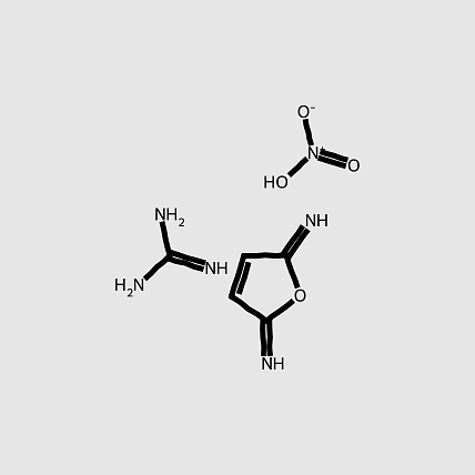 N=C(N)N.N=C1C=CC(=N)O1.O=[N+]([O-])O